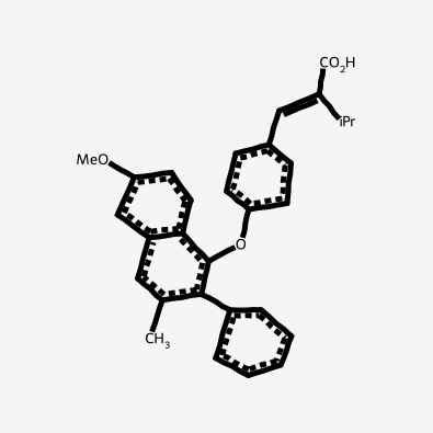 COc1ccc2c(Oc3ccc(C=C(C(=O)O)C(C)C)cc3)c(-c3ccccc3)c(C)cc2c1